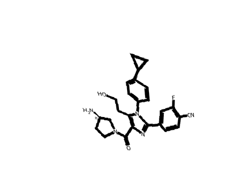 N#Cc1ccc(-c2nc(C(=O)N3CC[C@@H](N)C3)c(CCO)n2-c2ccc(C3CC3)cc2)cc1F